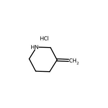 C=C1CCCNC1.Cl